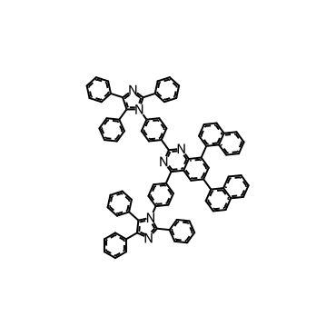 c1ccc(-c2nc(-c3ccccc3)n(-c3ccc(-c4nc(-c5ccc(-n6c(-c7ccccc7)nc(-c7ccccc7)c6-c6ccccc6)cc5)c5cc(-c6cccc7ccccc67)cc(-c6cccc7ccccc67)c5n4)cc3)c2-c2ccccc2)cc1